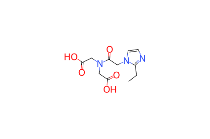 CCc1nccn1CC(=O)N(CC(=O)O)CC(=O)O